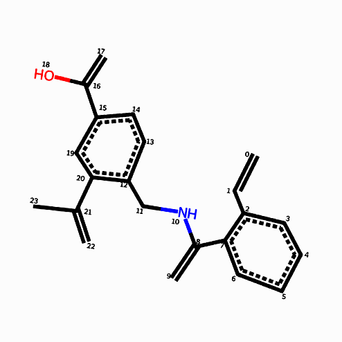 C=Cc1ccccc1C(=C)NCc1ccc(C(=C)O)cc1C(=C)C